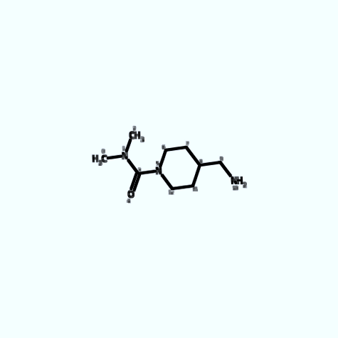 CN(C)C(=O)N1CCC(CN)CC1